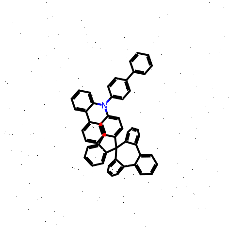 c1ccc(-c2ccc(N(c3ccc4c(c3)-c3ccccc3C43c4ccccc4-c4ccccc4-c4ccccc43)c3ccccc3-c3ccccc3)cc2)cc1